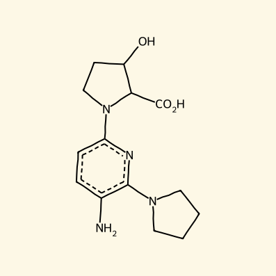 Nc1ccc(N2CCC(O)C2C(=O)O)nc1N1CCCC1